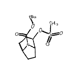 CC(C)(C)OC(=O)N1C2CCC(OS(C)(=O)=O)C1CC2